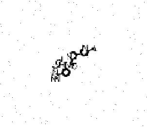 CCOCC(C)n1cnnc1-c1cccc(NC(=O)c2cc(-c3ccc(C4CC4)nc3)ccn2)c1